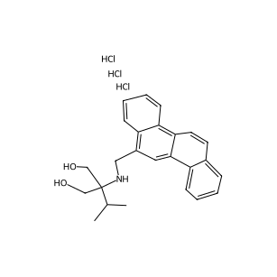 CC(C)C(CO)(CO)NCc1cc2c3ccccc3ccc2c2ccccc12.Cl.Cl.Cl